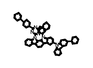 c1ccc(-c2ccc(-c3nc(-c4ccccc4)nc(-n4c5ccccc5c5ccc6c7cc(-n8c9ccccc9c9cc(-c%10ccccc%10)ccc98)ccc7n(-c7ccccc7)c6c54)n3)cc2)cc1